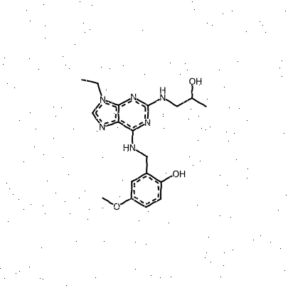 CCn1cnc2c(NCc3cc(OC)ccc3O)nc(NCC(C)O)nc21